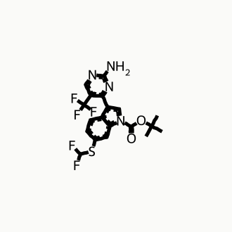 CC(C)(C)OC(=O)n1cc(-c2nc(N)ncc2C(F)(F)F)c2ccc(SC(F)F)cc21